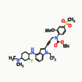 COc1cc(S(C)(=O)=O)ccc1N(CC#Cc1cc2c(NC3CCC(N(C)C)CC3F)cccc2n1CC(F)(F)F)C(=O)OC(C)(C)C